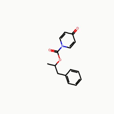 CC(Cc1ccccc1)OC(=O)n1ccc(=O)cc1